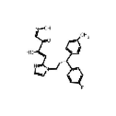 C/N=C\C(=O)/C(O)=C/c1nccn1CC[C@H](c1ccc(C)cc1)c1ccc(F)cc1